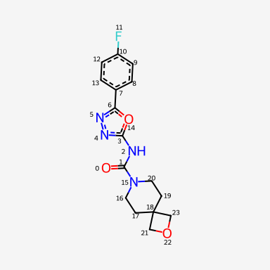 O=C(Nc1nnc(-c2ccc(F)cc2)o1)N1CCC2(CC1)COC2